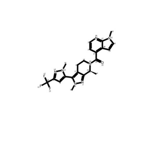 C[C@H]1c2nn(C)c(-c3cc(C(F)(F)F)nn3C)c2CCN1C(=O)c1ccnc2c1ccn2C